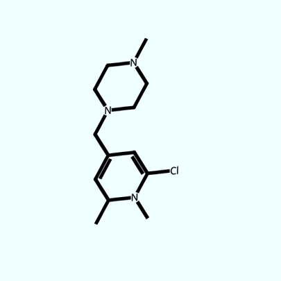 CC1C=C(CN2CCN(C)CC2)C=C(Cl)N1C